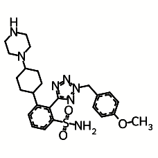 COc1ccc(Cn2nnc(-c3c(C4CCC(N5CCNCC5)CC4)cccc3S(N)(=O)=O)n2)cc1